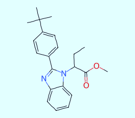 CCC(C(=O)OC)n1c(-c2ccc(C(C)(C)C)cc2)nc2ccccc21